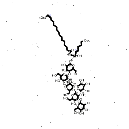 CCCCCCCC/C=C\CCCCCCCCCCCCCC(=O)N[C@@H](CO[C@@H]1OC(CO)[C@@H](O[C@@H]2OC(CO)[C@H](O)[C@H](O[C@@H]3OC(CO)[C@@H](O[C@@H]4OC(CO)[C@H](O)[C@H](O[C@H]5OC(CO)[C@H](O)[C@H](O)C5O)C4O)[C@H](O[C@H]4OC(C)[C@@H](O)C(O)[C@@H]4O)C3NC(C)=O)C2O)[C@H](O)C1O)[C@H](O)/C=C/CCCCCCCCCCCCC